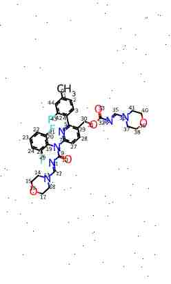 Cc1ccc(-c2nc(N(C(=O)/N=C/N3CCOCC3)c3c(F)cccc3F)ccc2COC(=O)/N=C/N2CCOCC2)c(F)c1